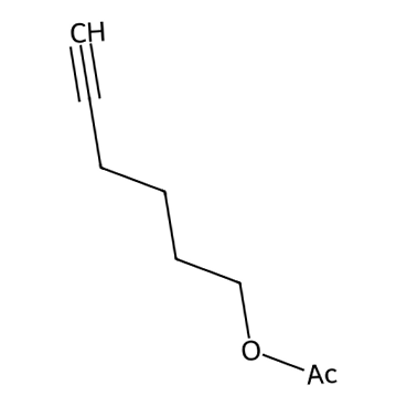 C#CCCCCOC(C)=O